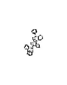 O=C(c1ccccc1)[C@@H]1CCCC[C@H]1C(=O)N1CCC[C@H]1C(=O)Nc1ccccc1-n1cccc1